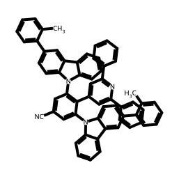 Cc1ccccc1-c1ccc2c(c1)c1ccccc1n2-c1cc(C#N)cc(-n2c3ccccc3c3cc(-c4ccccc4C)ccc32)c1-c1cc(-c2ccccc2)nc(-c2ccccc2)c1